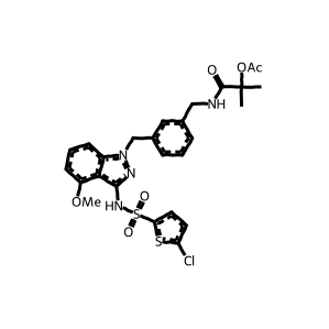 COc1cccc2c1c(NS(=O)(=O)c1ccc(Cl)s1)nn2Cc1cccc(CNC(=O)C(C)(C)OC(C)=O)c1